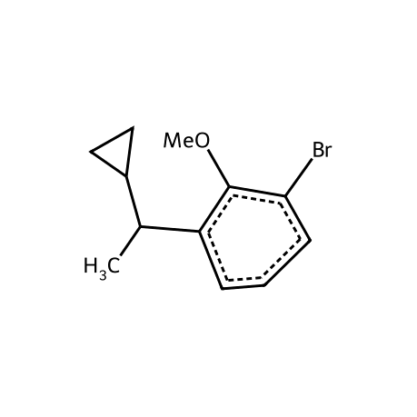 COc1c(Br)cccc1C(C)C1CC1